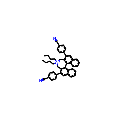 CCCC[N+]1(CCCC)Cc2c(-c3ccc(C#N)cc3)cc3ccccc3c2-c2c(c(-c3ccc(C#N)cc3)cc3ccccc23)C1